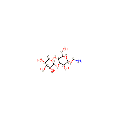 CC1O[C@@H](O[C@@H]2C(O)[C@H](OCN)OC(CO)[C@H]2O)[C@@H](O)C(O)[C@H]1O